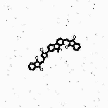 CC1(C)c2cc(C=C3C(=O)c4ccccc4C3=O)ccc2-c2ccc(-c3sc(C=C4C(=O)c5ccccc5C4=O)cc3Cl)cc21